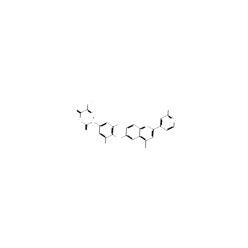 Cc1cc(-c2ccnc(Br)c2)nc2ccc(Oc3c(Cl)cc(-n4nc(C#N)c(=O)[nH]c4=O)cc3Cl)cc12